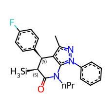 CCCN1C(=O)[C@@H]([SiH3])[C@@H](c2ccc(F)cc2)c2c(C)nn(-c3ccccc3)c21